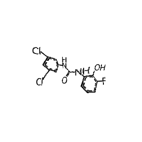 O=C(Nc1cc(Cl)cc(Cl)c1)Nc1cccc(F)c1O